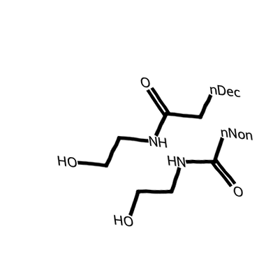 CCCCCCCCCC(=O)NCCO.CCCCCCCCCCCC(=O)NCCO